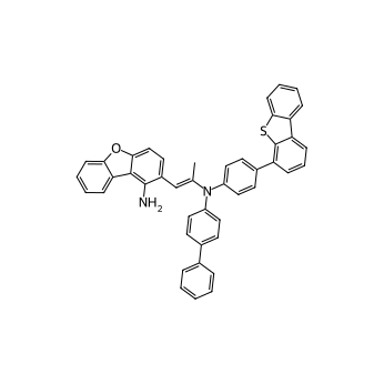 C/C(=C\c1ccc2oc3ccccc3c2c1N)N(c1ccc(-c2ccccc2)cc1)c1ccc(-c2cccc3c2sc2ccccc23)cc1